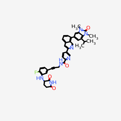 CC(C)c1cc(-c2cccc3cc(-c4ccc(C(=O)NCC#Cc5ccc(F)c(NC6CCC(=O)NC6=O)c5)nc4)ncc23)cc2c1n(C)c(=O)n2C